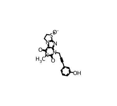 Cn1c(=O)c2c(nc3n2CC[S+]3[O-])n(CC#Cc2cccc(O)c2)c1=O